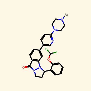 CC(=O)N1CCN(c2ccc(-c3ccc4c(=O)n5n(c4c3)C(c3ccccc3OC(F)F)CC5)cn2)CC1